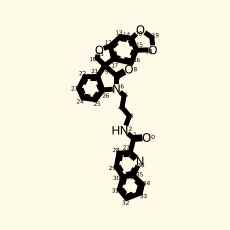 O=C(NCCCN1C(=O)C2(COc3cc4c(cc32)OCO4)c2ccccc21)c1ccc2ccccc2n1